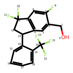 OCc1cc2c(cc1F)C(F)(F)CC2c1ccccc1C(F)(F)F